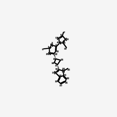 Cc1nc(-n2nc(C)nc2C)cc([C@H]2C[C@@H](c3nc4ccccc4n3C)C2)n1